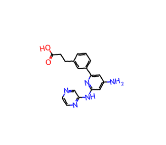 Nc1cc(Nc2cnccn2)nc(-c2cccc(CCC(=O)O)c2)c1